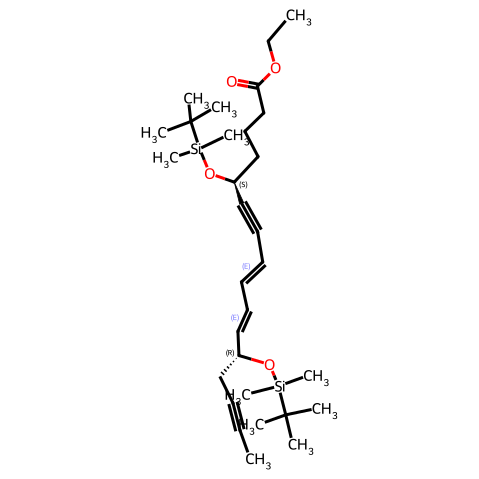 CC#CC[C@H](/C=C/C=C/C#C[C@H](CCCC(=O)OCC)O[Si](C)(C)C(C)(C)C)O[Si](C)(C)C(C)(C)C